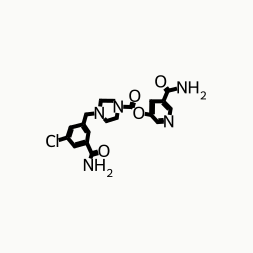 NC(=O)c1cc(Cl)cc(CN2CCN(C(=O)Oc3cncc(C(N)=O)c3)CC2)c1